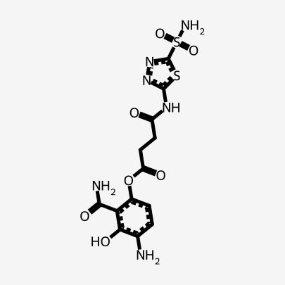 NC(=O)c1c(OC(=O)CCC(=O)Nc2nnc(S(N)(=O)=O)s2)ccc(N)c1O